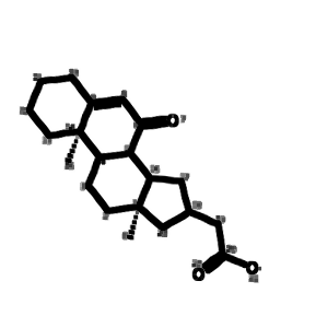 C[C@]12CCC3C(C(=O)C=C4CCCC[C@@]43C)C1CC(CC([O])=O)C2